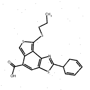 CCCSc1scc2c(C(=O)O)cc3sc(C4C=CC=CC4)nc3c12